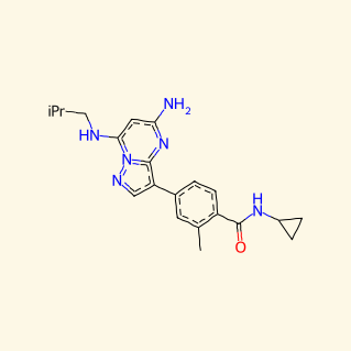 Cc1cc(-c2cnn3c(NCC(C)C)cc(N)nc23)ccc1C(=O)NC1CC1